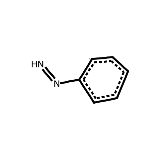 N=Nc1[c]cccc1